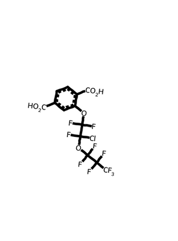 O=C(O)c1ccc(C(=O)O)c(OC(F)(F)C(F)(Cl)OC(F)(F)C(F)(F)C(F)(F)F)c1